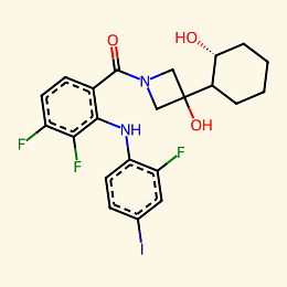 O=C(c1ccc(F)c(F)c1Nc1ccc(I)cc1F)N1CC(O)(C2CCCC[C@H]2O)C1